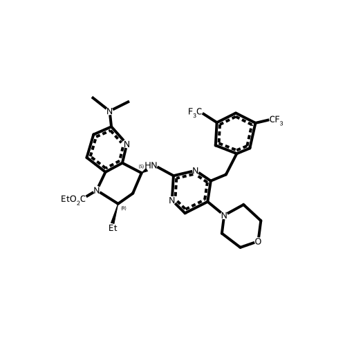 CCOC(=O)N1c2ccc(N(C)C)nc2[C@@H](Nc2ncc(N3CCOCC3)c(Cc3cc(C(F)(F)F)cc(C(F)(F)F)c3)n2)C[C@H]1CC